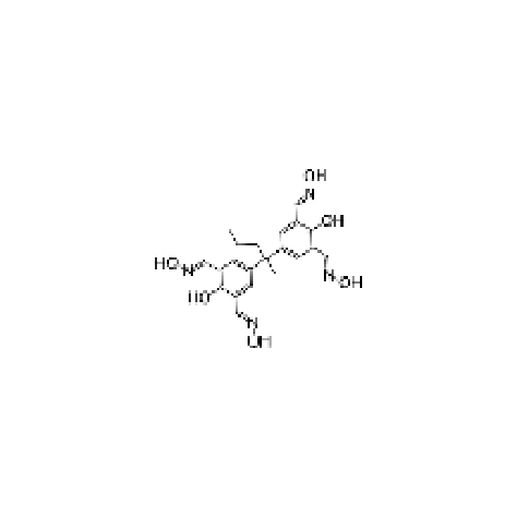 CCCC(C)(c1cc(C=NO)c(O)c(C=NO)c1)c1cc(C=NO)c(O)c(C=NO)c1